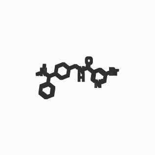 CN(C)C(c1ccccc1)C1CCC(CNC(=O)c2cncc(Br)c2)CC1